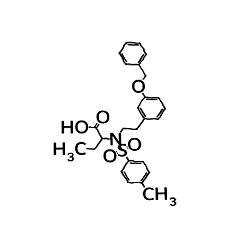 CCC(C(=O)O)N(CCc1cccc(OCc2ccccc2)c1)S(=O)(=O)c1ccc(C)cc1